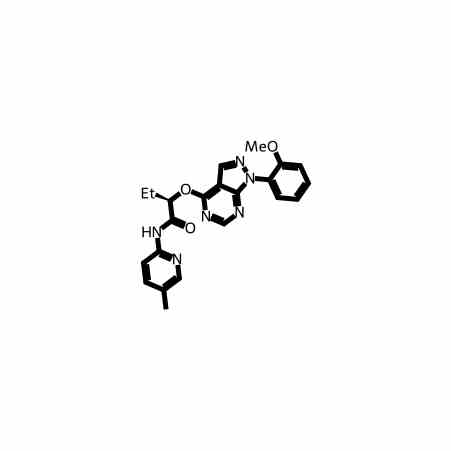 CC[C@@H](Oc1ncnc2c1cnn2-c1ccccc1OC)C(=O)Nc1ccc(C)cn1